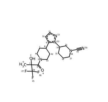 CC(O)(C(=O)N1CCC(c2ccnn2C2CCCN(C#N)C2)CC1)C(F)(F)F